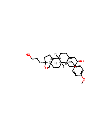 COc1ccc(C[C@]23CCC(=O)C=C2CC[C@@H]2[C@H]3CC[C@@]3(C)[C@H]2CCC3(O)CCCO)cc1